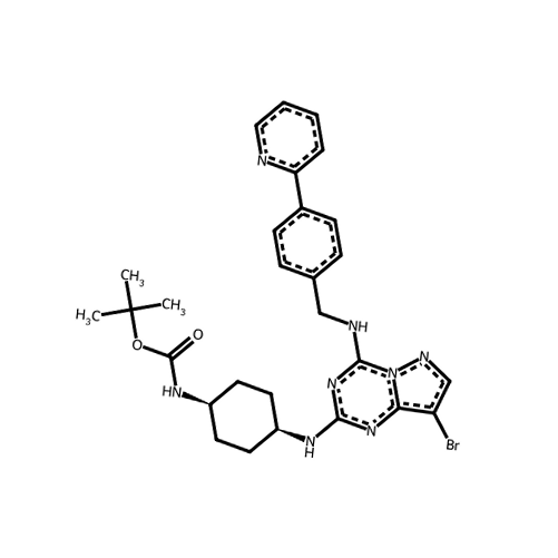 CC(C)(C)OC(=O)N[C@H]1CC[C@@H](Nc2nc(NCc3ccc(-c4ccccn4)cc3)n3ncc(Br)c3n2)CC1